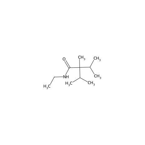 CCNC(=O)C(C)(C(C)C)C(C)C